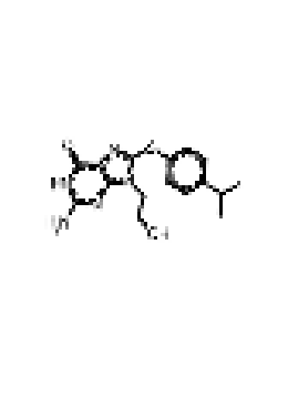 CC(C)c1ccc(Sc2nc3c(=O)[nH]c(N)nc3n2CCO)cc1